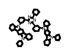 c1ccc(-c2nc(-c3cccc(-n4c5ccccc5c5cc6c(cc54)c4ccccc4n6-c4ccccc4)c3)nc(-c3cccc(-n4c5ccccc5c5cc6c(cc54)c4ccccc4n6-c4ccccc4)c3)n2)cc1